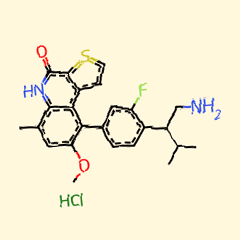 COc1cc(C)c2[nH]c(=O)c3sccc3c2c1-c1ccc(C(CN)C(C)C)c(F)c1.Cl